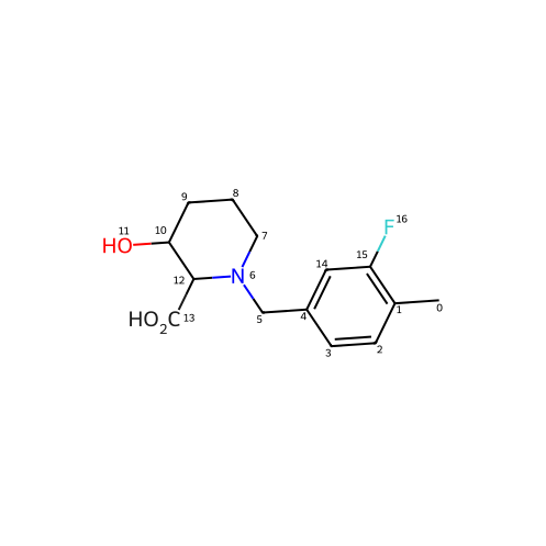 Cc1ccc(CN2CCCC(O)C2C(=O)O)cc1F